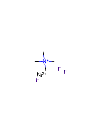 C[N+](C)(C)C.[I-].[I-].[I-].[Ni+2]